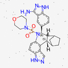 Nc1n[nH]c2ccc([C@H]3[C@@H]4C5CCC(C5)[C@@H]4c4c(ccc5[nH]ncc45)N3S(=O)(=O)N3CCOCC3)cc12